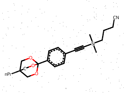 CCCC12COC(c3ccc(C#C[Si](C)(C)CCCC#N)cc3)(OC1)OC2